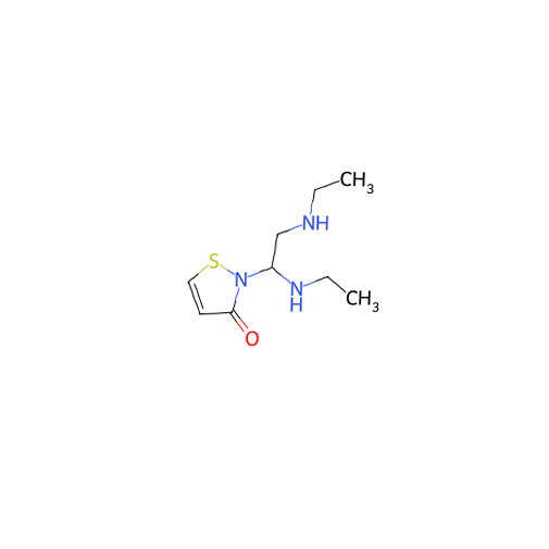 CCNCC(NCC)n1sccc1=O